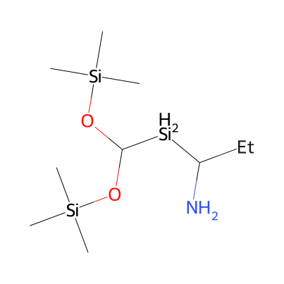 CCC(N)[SiH2]C(O[Si](C)(C)C)O[Si](C)(C)C